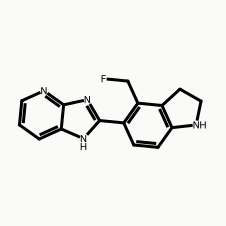 FCc1c(-c2nc3ncccc3[nH]2)ccc2c1CCN2